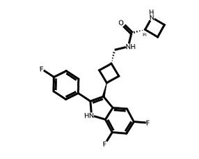 O=C(NC[C@H]1C[C@H](c2c(-c3ccc(F)cc3)[nH]c3c(F)cc(F)cc32)C1)[C@H]1CCN1